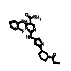 C=CC(=O)N1CCCC(n2cc(Nc3ncc(C(N)=O)c(Nc4ccccc4F)n3)cn2)C1